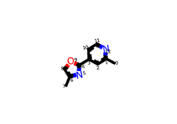 Cc1cc(-c2nc(C)co2)ccn1